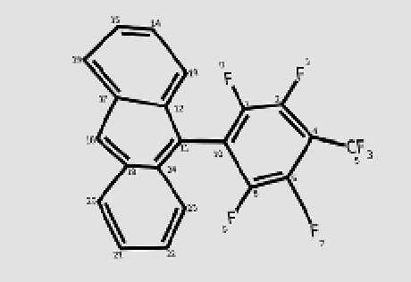 Fc1c(F)c(C(F)(F)F)c(F)c(F)c1-c1c2ccccc2cc2ccccc12